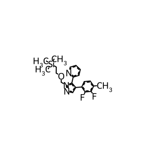 Cc1ccc(-c2cnn(COCC[Si](C)(C)C)c2-c2ccccn2)c(F)c1F